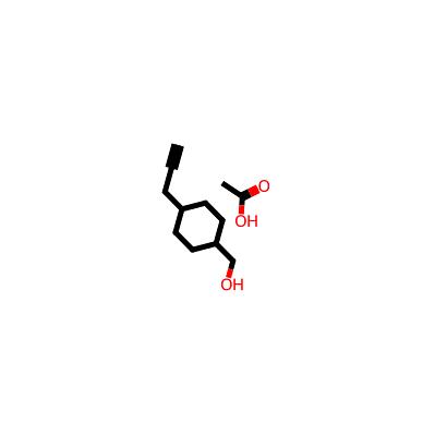 C#CCC1CCC(CO)CC1.CC(=O)O